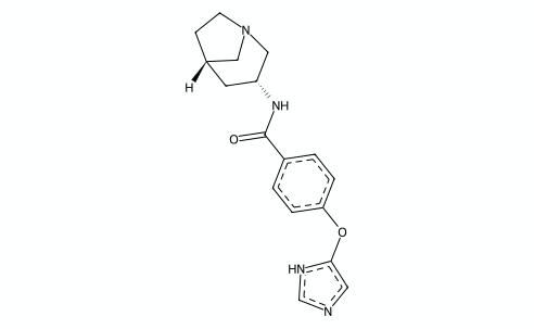 O=C(N[C@@H]1C[C@@H]2CCN(C2)C1)c1ccc(Oc2cnc[nH]2)cc1